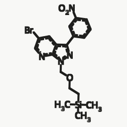 C[Si](C)(C)CCOCn1nc(-c2cccc([N+](=O)[O-])c2)c2cc(Br)cnc21